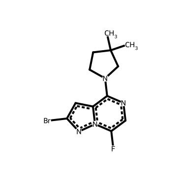 CC1(C)CCN(c2ncc(F)n3nc(Br)cc23)C1